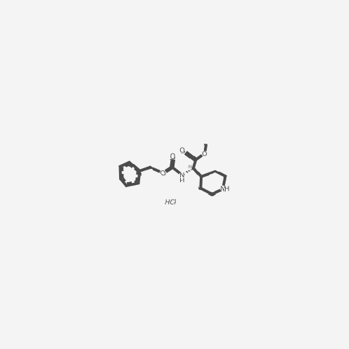 COC(=O)[C@@H](NC(=O)OCc1ccccc1)C1CCNCC1.Cl